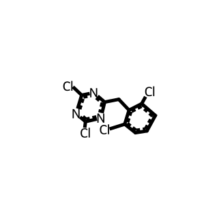 Clc1nc(Cl)nc(Cc2c(Cl)cccc2Cl)n1